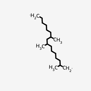 [CH2]CCCCCC(C)CC(C)CCCCCC([CH2])C